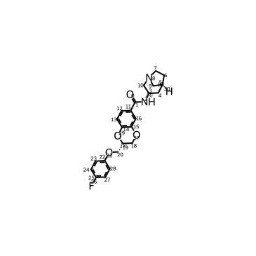 O=C(N[C@@H]1C[C@@H]2CCN(C2)C1)c1ccc2c(c1)OC[C@H](COc1ccc(F)cc1)O2